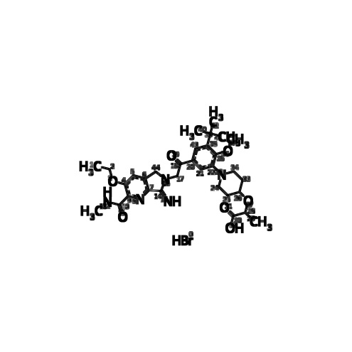 Br.CCOc1cc2c(nc1C(=O)NC)C(=N)N(CC(=O)c1cc(N3CCC(OC(C)C(=O)O)CC3)c(OC)c(C(C)(C)C)c1)C2